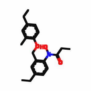 CCC(=O)N(O)c1ccc(CC)cc1COc1ccc(CC)cc1C